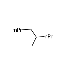 CC[CH]CC(C)CCC